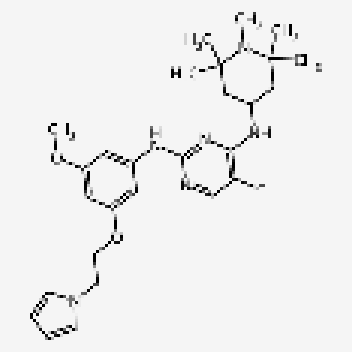 COc1cc(Nc2ncc(F)c(NC3CC(C)(C)N(C)C(C)(C)C3)n2)cc(OCCn2cccc2)c1